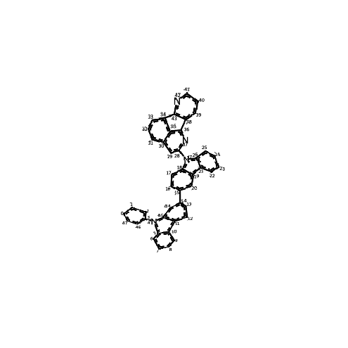 c1ccc(-n2c3ccccc3c3ccc(-c4ccc5c(c4)c4ccccc4n5-c4cc5cccc6c5c(n4)-c4cccnc4-6)cc32)cc1